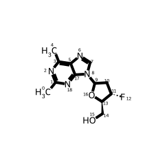 Cc1nc(C)c2ncn(C3C[C@H](F)[C@@H](CO)O3)c2n1